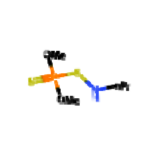 CCCNSP(=S)(OC)OC